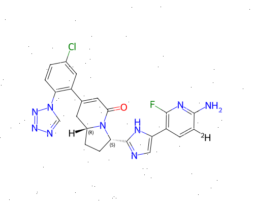 [2H]c1cc(-c2cnc([C@@H]3CC[C@@H]4CC(c5cc(Cl)ccc5-n5cnnn5)=CC(=O)N43)[nH]2)c(F)nc1N